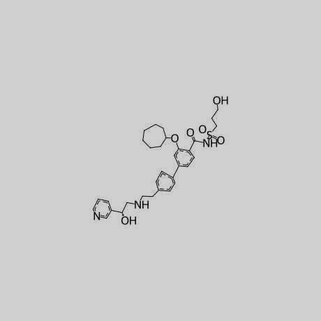 O=C(NS(=O)(=O)CCCO)c1ccc(-c2ccc(CCNC[C@@H](O)c3cccnc3)cc2)cc1OC1CCCCCC1